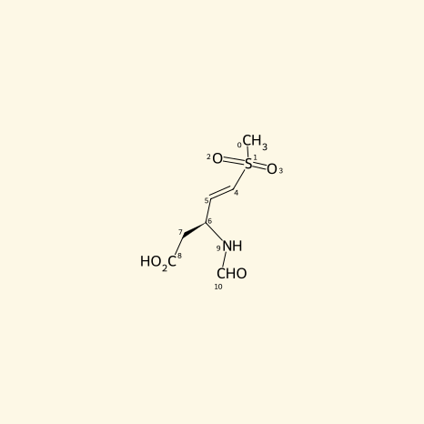 CS(=O)(=O)/C=C/[C@H](CC(=O)O)NC=O